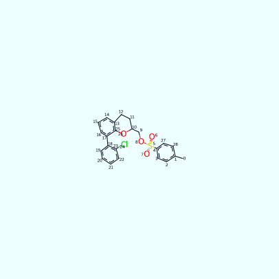 Cc1ccc(S(=O)(=O)OCC2CCc3cccc(-c4ccccc4Cl)c3O2)cc1